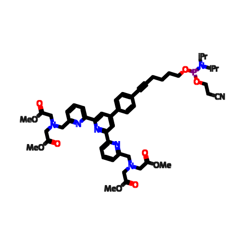 COC(=O)CN(CC(=O)OC)Cc1cccc(-c2cc(-c3ccc(C#CCCCCOP(OCCC#N)N(C(C)C)C(C)C)cc3)cc(-c3cccc(CN(CC(=O)OC)CC(=O)OC)n3)n2)n1